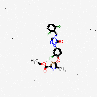 CCOC(=O)c1nc(C)c(Oc2ccc(-n3ncn(Cc4c(F)cccc4F)c3=O)cc2F)s1